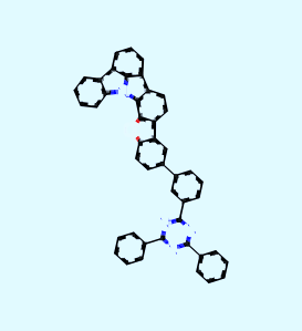 c1ccc(-c2nc(-c3ccccc3)nc(-c3cccc(-c4ccc5oc6c(ccc7c8cccc9c%10ccccc%10n(c98)c76)c5c4)c3)n2)cc1